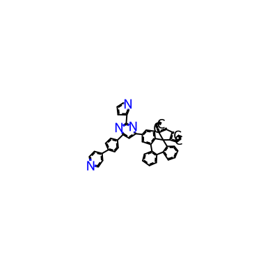 c1cncc(-c2nc(-c3ccc(-c4ccncc4)cc3)cc(-c3ccc4c(c3)-c3ccccc3-c3ccccc3C43c4ccccc4-c4ccccc43)n2)c1